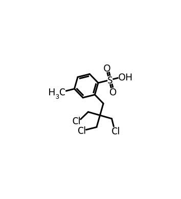 Cc1ccc(S(=O)(=O)O)c(CC(CCl)(CCl)CCl)c1